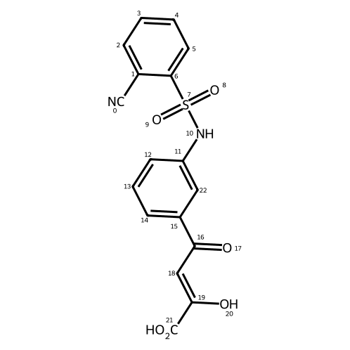 N#Cc1ccccc1S(=O)(=O)Nc1cccc(C(=O)/C=C(\O)C(=O)O)c1